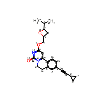 CC(C)C1CC(COc2cc3n(c(=O)n2)CCc2cc(C#CC4CC4)ccc2-3)O1